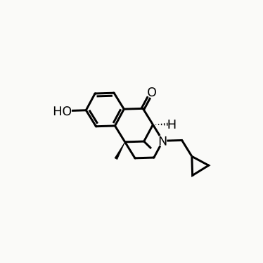 CC1[C@H]2C(=O)c3ccc(O)cc3[C@@]1(C)CCN2CC1CC1